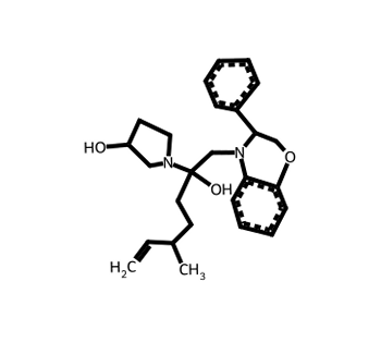 C=CC(C)CCC(O)(CN1c2ccccc2OCC1c1ccccc1)N1CCC(O)C1